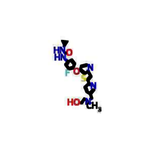 CN(CCO)Cc1ccc(-c2cc3nccc(Oc4ccc(NC(=O)NC5CC5)cc4F)c3s2)nc1